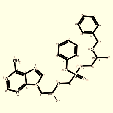 C[C@H](Cn1cnc2c(N)ncnc21)OCP(=O)(NC[C@H](C)OCc1ccccc1)Oc1ccccc1